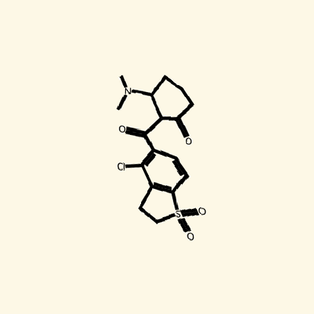 CN(C)C1CCCC(=O)C1C(=O)c1ccc2c(c1Cl)CCS2(=O)=O